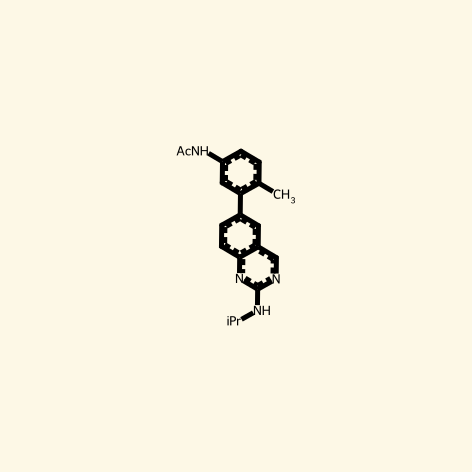 CC(=O)Nc1ccc(C)c(-c2ccc3nc(NC(C)C)ncc3c2)c1